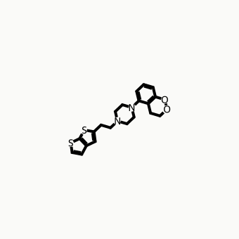 c1cc2c(c(N3CCN(CCc4cc5ccsc5s4)CC3)c1)CCOO2